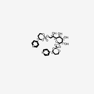 O=[P@]1(OC[C@@H](O)[C@H]2O[C@@H](O[P@]3(=O)OCC[C@H](c4ccncc4)O3)[C@@H](O)[C@@H](O)[C@@H]2O)OCC[C@@H](c2ccncc2)O1